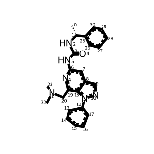 C[C@@H](NC(=O)Nc1cc2cnn(-c3ccccc3)c2c(CN(C)C)n1)c1ccccc1